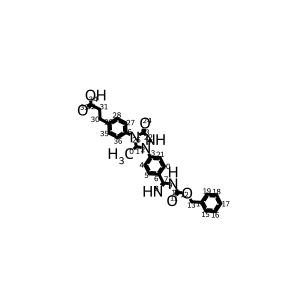 CC1N(c2ccc(C(=N)NC(=O)OCc3ccccc3)cc2)NC(=O)N1c1ccc(CCC(=O)O)cc1